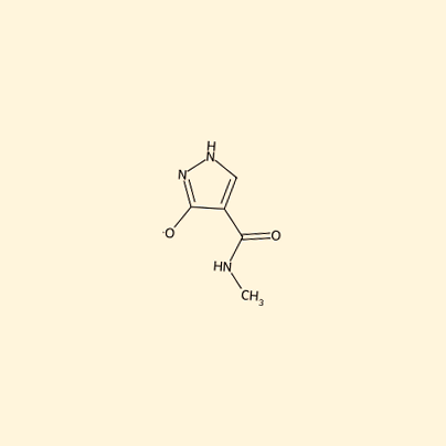 CNC(=O)c1c[nH]nc1[O]